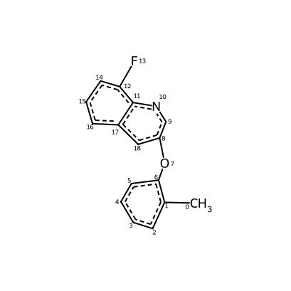 Cc1ccccc1Oc1cnc2c(F)cccc2c1